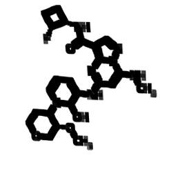 CNc1cc(NC2=CC=CN(C3CCOC[C@H]3OC)C2O)nc2c(C(=O)N[C@H]3CC[C@H]3F)cnn12